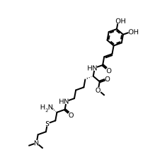 COC(=O)[C@H](CCCCNC(=O)[C@@H](N)CSCCN(C)C)NC(=O)/C=C/c1ccc(O)c(O)c1